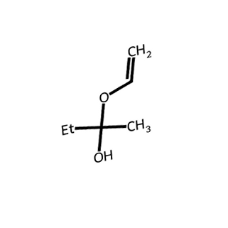 C=COC(C)(O)CC